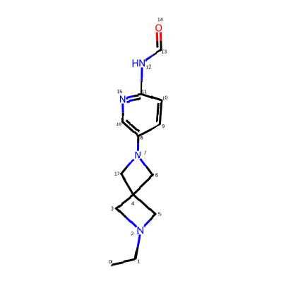 CCN1CC2(C1)CN(c1ccc(NC=O)nc1)C2